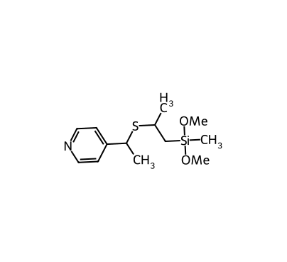 CO[Si](C)(CC(C)SC(C)c1ccncc1)OC